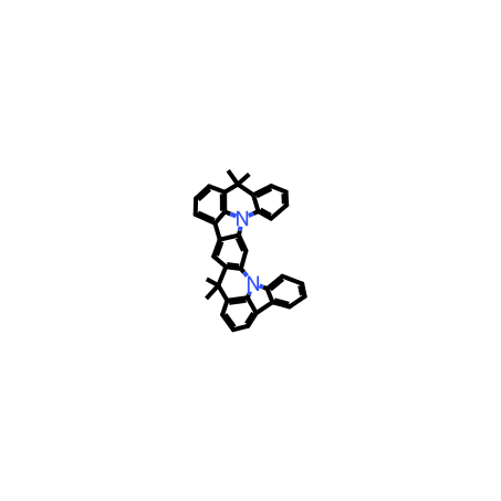 CC1(C)c2cc3c4cccc5c4n(c3cc2-n2c3ccccc3c3cccc1c32)-c1ccccc1C5(C)C